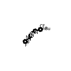 CCCCc1ccc(-c2ccc(Cn3cc4nc(-c5cccc(F)c5F)nc-4cn3)cn2)cc1C(F)(F)F